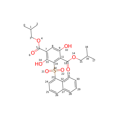 CC(C)COC(=O)c1cc(O)c(C(=O)OCC(C)C)c(S(=O)(=O)c2cccc3ccccc23)c1O